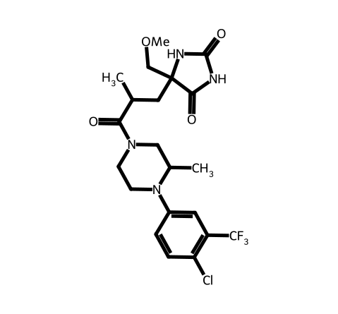 COCC1(CC(C)C(=O)N2CCN(c3ccc(Cl)c(C(F)(F)F)c3)C(C)C2)NC(=O)NC1=O